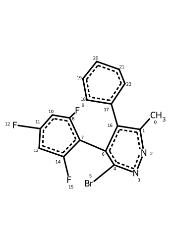 Cc1nnc(Br)c(-c2c(F)cc(F)cc2F)c1-c1ccccc1